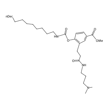 CCCCCCCCCCCCCCCCCCNC(=O)Oc1ccc(C(=O)OC)cc1CCC(=O)NCCCN(C)C